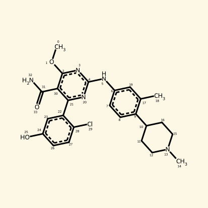 COc1nc(Nc2ccc(C3CCN(C)CC3)c(C)c2)nc(-c2cc(O)ccc2Cl)c1C(N)=O